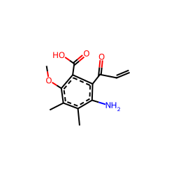 C=CC(=O)c1c(N)c(C)c(C)c(OC)c1C(=O)O